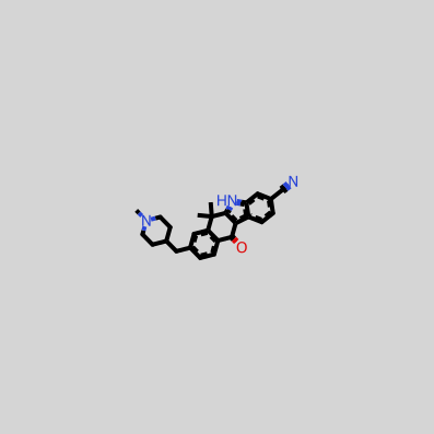 CN1CCC(Cc2ccc3c(c2)C(C)(C)c2[nH]c4cc(C#N)ccc4c2C3=O)CC1